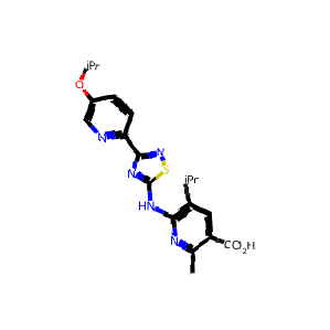 Cc1nc(Nc2nc(-c3ccc(OC(C)C)cn3)ns2)c(C(C)C)cc1C(=O)O